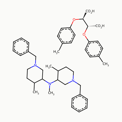 CC1CCN(Cc2ccccc2)CC1N(C)C1CN(Cc2ccccc2)CCC1C.Cc1ccc(O[C@@H](C(=O)O)[C@@H](Oc2ccc(C)cc2)C(=O)O)cc1